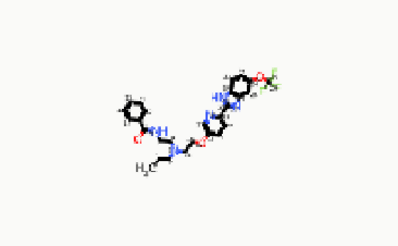 CCCN(CCNC(=O)c1ccccc1)CCOc1ccc(-c2nc3cc(OC(F)(F)F)ccc3[nH]2)nc1